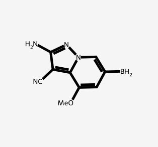 Bc1cc(OC)c2c(C#N)c(N)nn2c1